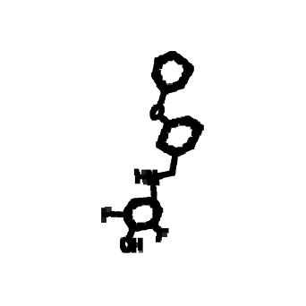 Oc1c(F)cc(NCc2cccc(Oc3ccccc3)c2)cc1F